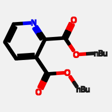 CCCCOC(=O)c1cccnc1C(=O)OCCCC